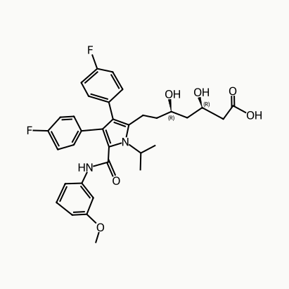 COc1cccc(NC(=O)c2c(-c3ccc(F)cc3)c(-c3ccc(F)cc3)c(CC[C@@H](O)C[C@@H](O)CC(=O)O)n2C(C)C)c1